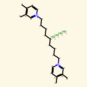 Br.Br.Br.Br.Cc1cc[n+](CCCCCCCCC[n+]2ccc(C)c(C)c2)cc1C